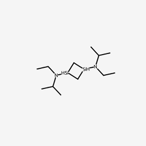 CCN(C(C)C)[SiH]1C[SiH](N(CC)C(C)C)C1